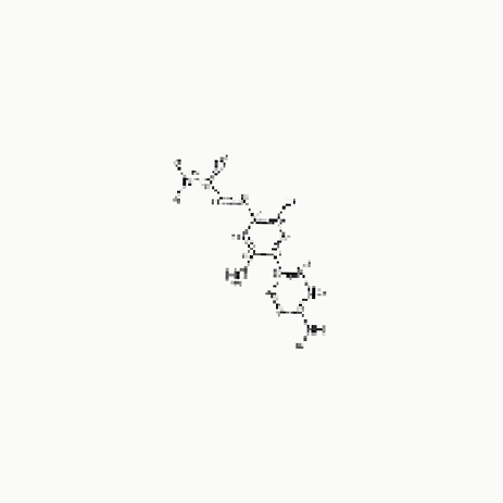 CNc1ccc(-c2cc(F)c(/C=C/C(=O)N(C)C)cc2O)nn1